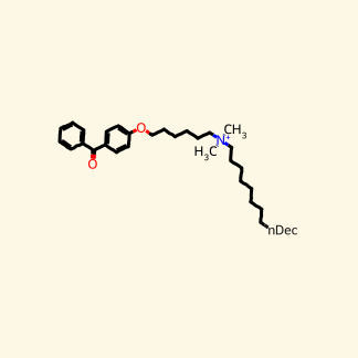 CCCCCCCCCCCCCCCCCC[N+](C)(C)CCCCCCOc1ccc(C(=O)c2ccccc2)cc1